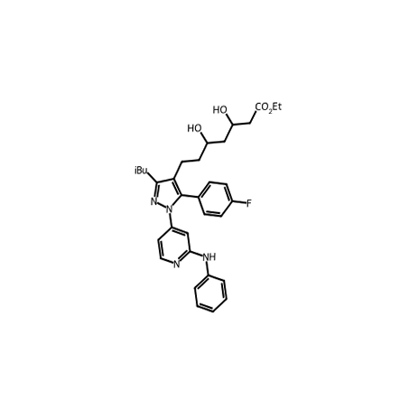 CCOC(=O)CC(O)CC(O)CCc1c(C(C)CC)nn(-c2ccnc(Nc3ccccc3)c2)c1-c1ccc(F)cc1